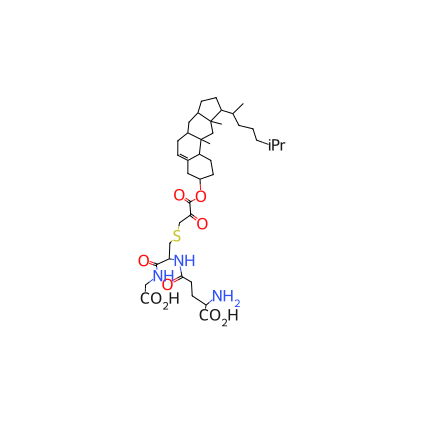 CC(C)CCCC(C)C1CCC2CC3CC=C4CC(OC(=O)C(=O)CSCC(NC(=O)CCC(N)C(=O)O)C(=O)NCC(=O)O)CCC4C3(C)CC21C